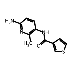 Cc1nc(N)ccc1NC(=O)c1ccsc1